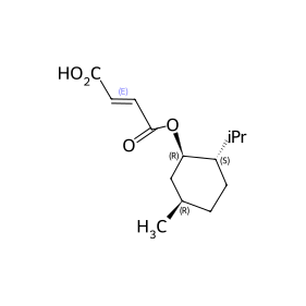 CC(C)[C@@H]1CC[C@@H](C)C[C@H]1OC(=O)/C=C/C(=O)O